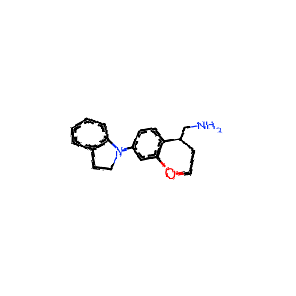 NCC1CCOc2cc(N3CCc4ccccc43)ccc21